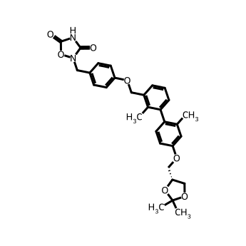 Cc1cc(OC[C@@H]2COC(C)(C)O2)ccc1-c1cccc(COc2ccc(Cn3oc(=O)[nH]c3=O)cc2)c1C